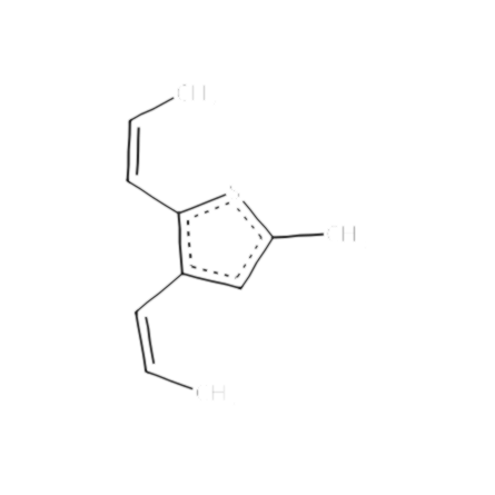 C/C=C\c1cc(C)sc1/C=C\C